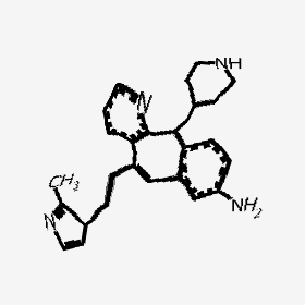 CC1=NC=CC1CCC1=Cc2cc(N)ccc2C(C2CCNCC2)c2ncccc21